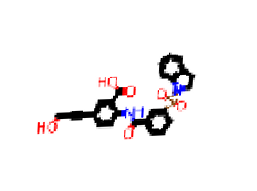 O=C(Nc1ccc(C#CCO)cc1C(=O)O)c1cccc(S(=O)(=O)N2CCc3ccccc32)c1